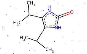 CC(C)c1[nH]c(=O)[nH]c1C(C)C